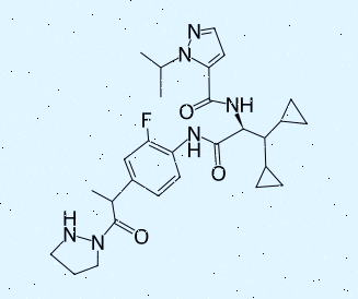 CC(C(=O)N1CCCN1)c1ccc(NC(=O)[C@@H](NC(=O)c2ccnn2C(C)C)C(C2CC2)C2CC2)c(F)c1